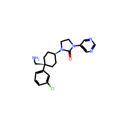 NC[C@]1(c2cccc(Cl)c2)CC[C@H](N2CCN(c3cncnc3)C2=O)CC1